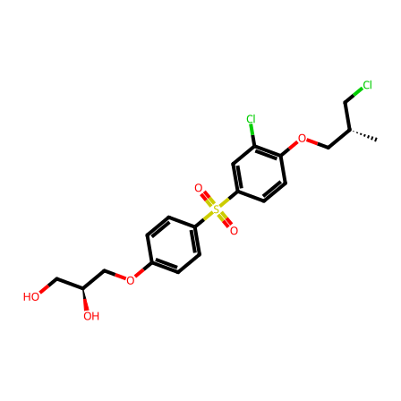 C[C@@H](CCl)COc1ccc(S(=O)(=O)c2ccc(OC[C@@H](O)CO)cc2)cc1Cl